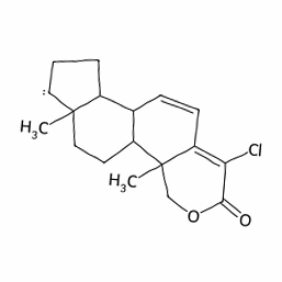 CC12[C]CCC1C1C=CC3=C(Cl)C(=O)OCC3(C)C1CC2